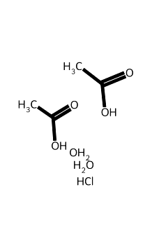 CC(=O)O.CC(=O)O.Cl.O.O